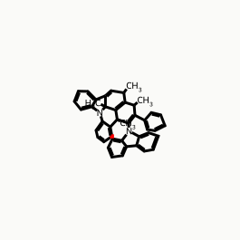 CC1C=C2c3ccccc3N3c4ccccc4C4(C)C(n5c6ccccc6c6ccccc65)=C(c5ccccc5)C(C)C1=C4C23C